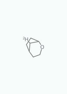 [2H]C1C2CCOC1CC2